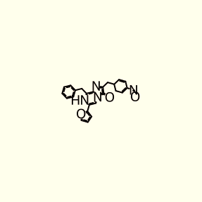 O=NC1=CCC(Cc2nc3c(Cc4ccccc4)[nH]c(-c4ccco4)cn-3c2=O)C=C1